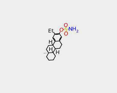 CCc1cc2c(cc1OS(N)(=O)=O)CC[C@@H]1[C@@H]2CC[C@]2(C)CCCC[C@@H]12